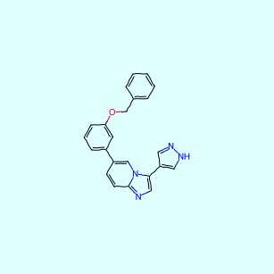 c1ccc(COc2cccc(-c3ccc4ncc(-c5cn[nH]c5)n4c3)c2)cc1